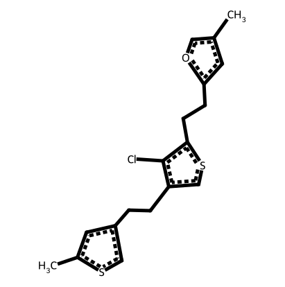 Cc1coc(CCc2scc(CCc3csc(C)c3)c2Cl)c1